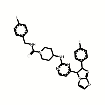 O=C(NCc1ccc(F)cc1)N1CCC(Nc2nccc(C3C(c4ccc(F)cc4)N=C4OC=CN43)n2)CC1